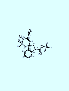 CC(C)(C)OC(=O)N1CC2(C=C(C#N)C(=O)C(C)(C)C2)c2ccccc21